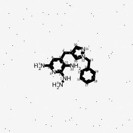 NNc1nc(N)cc(Cc2cnn(Cc3ccccc3)c2)c1N